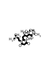 CNC(=O)[C@H]([C@H](O)[C@H](C)CC1=NC(=O)CC(=O)N1CCN(C)C)N(C)C